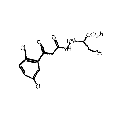 CC(C)CC(NNC(=O)CC(=O)c1cc(Cl)ccc1Cl)C(=O)O